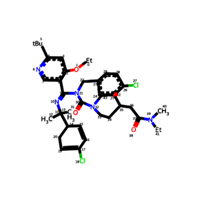 CCOc1cc(C(C)(C)C)ncc1/C(=N/C(C)(C)C1C=CC(Cl)=CC1)N(Cc1ccc(Cl)cc1)C(=O)N1CCC(CC(=O)N(C)CC)CC1